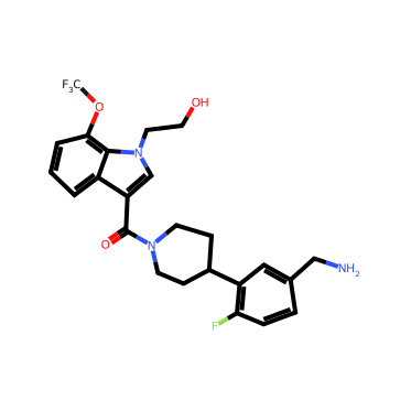 NCc1ccc(F)c(C2CCN(C(=O)c3cn(CCO)c4c(OC(F)(F)F)cccc34)CC2)c1